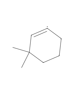 CC1(C)C=[C]CCC1